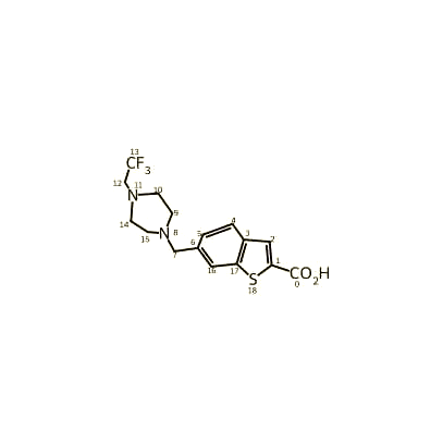 O=C(O)c1cc2ccc(CN3CCN(CC(F)(F)F)CC3)cc2s1